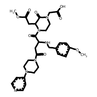 COC(=O)CC1C(=O)N(CC(=O)O)CCN1C(=O)C(CC(=O)N1CCN(c2ccncc2)CC1)NCc1ccc(OC)cc1